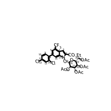 CCOC(=O)c1cc2c(C(F)(F)F)cc(-c3ccc(Cl)cc3Cl)cc2n1O[C@@H]1O[C@H](COC(C)=O)[C@@H](OC(C)=O)[C@H](OC(C)=O)[C@H]1OC(C)=O